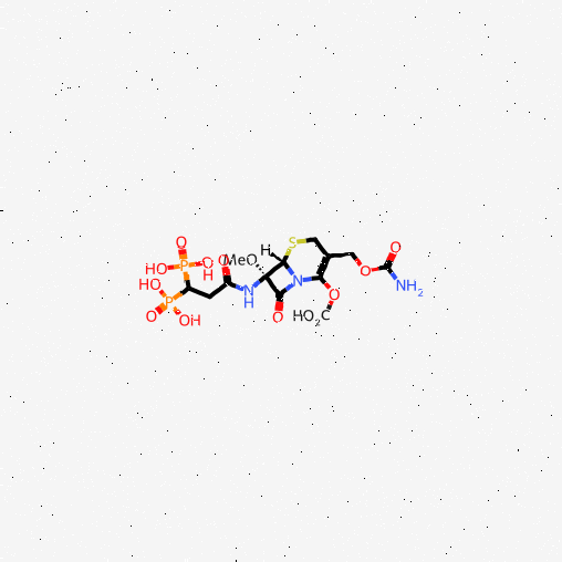 CO[C@@]1(NC(=O)CC(P(=O)(O)O)P(=O)(O)O)C(=O)N2C(OC(=O)O)=C(COC(N)=O)CS[C@H]21